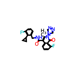 Cc1c(C(=O)NCc2cccc(F)c2C2CC2)c2cccc(F)c2c(=O)n1-n1cnnc1